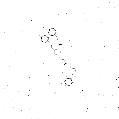 Cc1cc(C)c(S(=O)(=O)NC(CNC(=O)COC2CC(CNc3ccc(C(F)(F)F)cn3)N(C(=O)OCc3ccccc3)C2)C(=O)O)c(C)c1